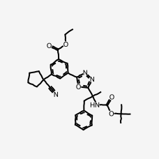 CCOC(=O)c1cc(-c2nnc(C(C)(Cc3ccccc3)NC(=O)OC(C)(C)C)o2)cc(C2(C#N)CCCC2)c1